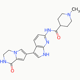 CN1CCC(C(=O)Nc2ccc3c(-c4cc5n(c4)CCNC5=O)c[nH]c3n2)CC1